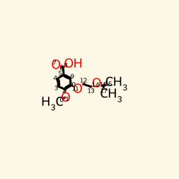 COc1ccc(C(=O)O)cc1OCCOC(C)C